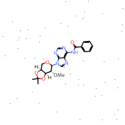 CO[C@@H]1[C@H]2OC(C)(C)O[C@H]2CO[C@H]1n1cnc2c(NC(=O)c3ccccc3)ncnc21